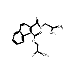 CC(C)COC(=O)c1ccc2ccccc2c1C(=O)OCC(C)C